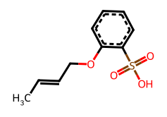 CC=CCOc1ccccc1S(=O)(=O)O